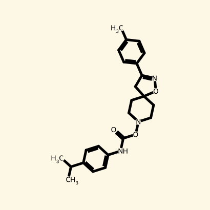 Cc1ccc(C2=NOC3(CCN(OC(=O)Nc4ccc(C(C)C)cc4)CC3)C2)cc1